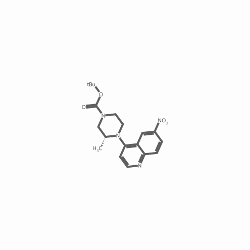 C[C@@H]1CN(C(=O)OC(C)(C)C)CCN1c1ccnc2ccc([N+](=O)[O-])cc12